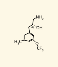 Cc1cc(C[C@@H](O)CN)cc(OC(F)(F)F)c1